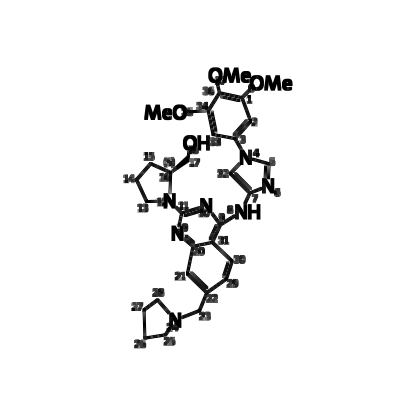 COc1cc(-n2cnc(Nc3nc(N4CCC[C@H]4CO)nc4cc(CN5CCCC5)ccc34)c2)cc(OC)c1OC